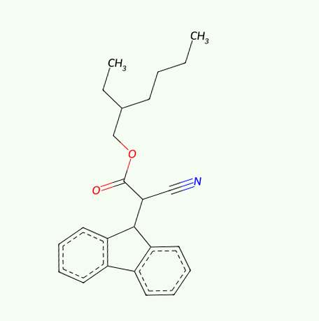 CCCCC(CC)COC(=O)C(C#N)C1c2ccccc2-c2ccccc21